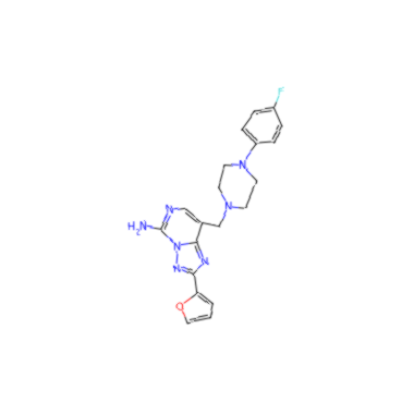 Nc1ncc(CN2CCN(c3ccc(F)cc3)CC2)c2nc(-c3ccco3)nn12